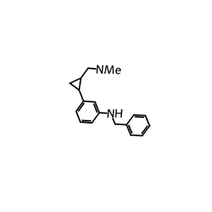 CNCC1CC1c1cccc(NCc2ccccc2)c1